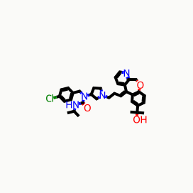 CC(C)NC(=O)N(Cc1ccc(Cl)cc1)C1CCN(CCC=C2c3cc(C(C)(C)O)ccc3OCc3ncccc32)C1